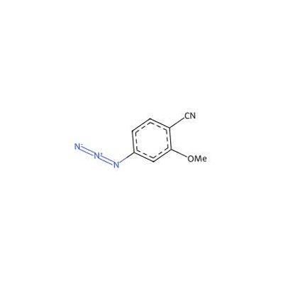 COc1cc(N=[N+]=[N-])ccc1C#N